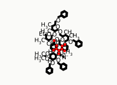 CCC1O[C@H](OC2[C@@H](OCC3O[C@H](O[C@@H]4C(COCc5ccccc5)O[C@H](OC5C(OCc6ccccc6)C(OCc6ccccc6)C(OCc6ccccc6)[C@@H]6OC(C)(C)O[C@@H]56)C(N=[N+]=[N-])[C@H]4C)C(OCc4ccccc4)[C@@H](C)[C@@H]3C)OC(COCc3ccccc3)[C@@H](C)[C@@H]2C)C(O)[C@@H](C)[C@@H]1C